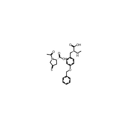 CC(=O)N1CC(=S)C[C@H]1C(=O)O.CN[C@@H](Cc1ccc(OCc2ccccc2)cc1)C(=O)O